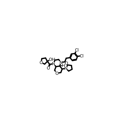 O=C(Cc1ccc(Cl)c(Cl)c1)N1CCN(C(=O)C2(O)CCOC2)C2COCC(N3CCCC3)[C@H]21